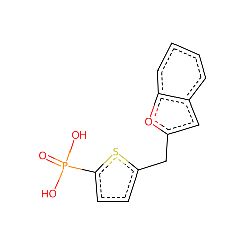 O=P(O)(O)c1ccc(Cc2cc3ccccc3o2)s1